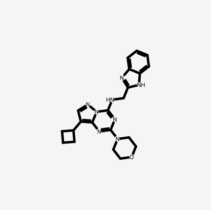 c1ccc2[nH]c(CNc3nc(N4CCOCC4)nc4c(C5CCC5)cnn34)nc2c1